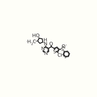 [CH2][C@@H]1C[C@@H](Nc2ncncc2C(=O)c2cc([S+]([O-])c3ccccc3)c(C)s2)C[C@@H]1O